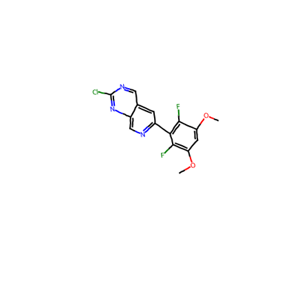 COc1cc(OC)c(F)c(-c2cc3cnc(Cl)nc3cn2)c1F